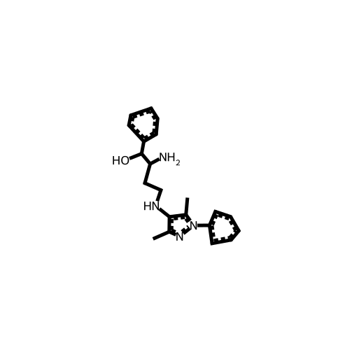 Cc1nn(-c2ccccc2)c(C)c1NCCC(N)C(O)c1ccccc1